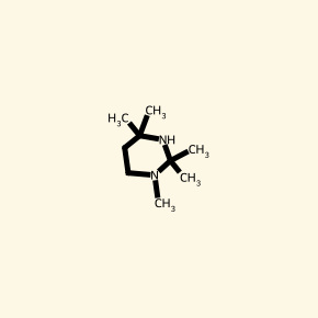 CN1CCC(C)(C)NC1(C)C